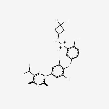 [2H]C1(O)CC(NS(=O)(=O)c2cc(Oc3c(Cl)cc(-n4nc(C(F)F)c(=O)[nH]c4=O)cc3Cl)ccc2O)C1